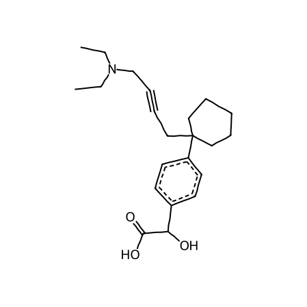 CCN(CC)CC#CCC1(c2ccc(C(O)C(=O)O)cc2)CCCCC1